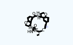 CC[C@]12CC/C=C\c3ccc4c(c3)[C@@H](NC(=O)c3ccc5c(c3)[C@@H](CCO5)N(C(=N)N1)C(=O)C2)[C@H](C)CO4